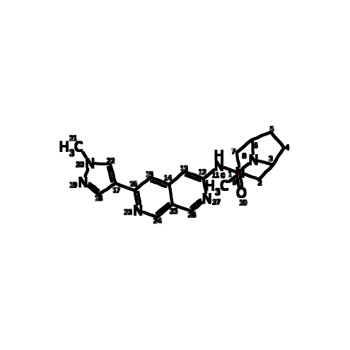 CN1CC2CCC(C1)N2C(=O)Nc1cc2cc(-c3cnn(C)c3)ncc2cn1